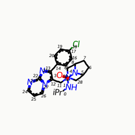 CC(C)NC(=O)N1C2CCC1CN(Cc1c(-c3ccc(Cl)cc3)nc3ncccn13)C2